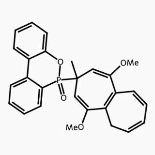 COC1=CC(C)(P2(=O)Oc3ccccc3-c3ccccc32)C=C(OC)C2=C1C=CC=CC2